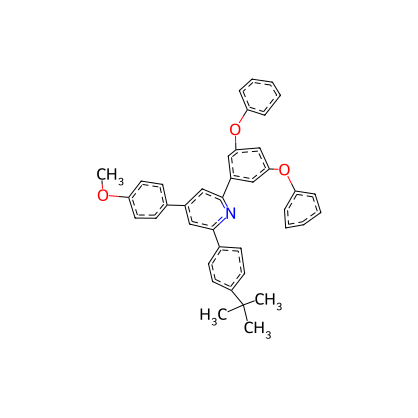 COc1ccc(-c2cc(-c3ccc(C(C)(C)C)cc3)nc(-c3cc(Oc4ccccc4)cc(Oc4ccccc4)c3)c2)cc1